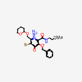 COCCNC(=O)c1c(OCc2ccccc2)c(=O)c(Br)c(COC2CCCCO2)n1N